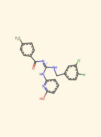 O=C(/N=C(/NCc1ccc(F)c(Cl)c1)Nc1cccc(O)n1)c1ccc(C(F)(F)F)cc1